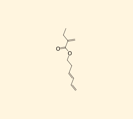 C=CC=CCCOC(=O)C(=C)CC